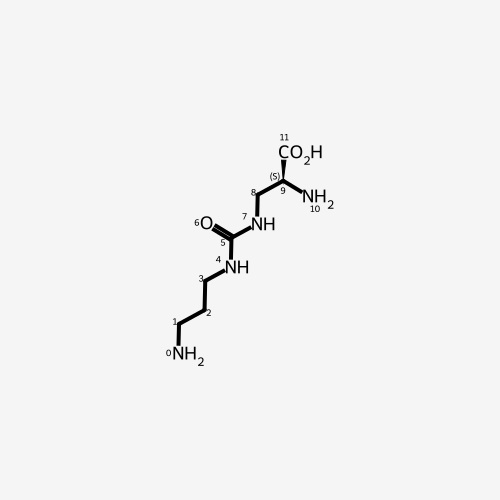 NCCCNC(=O)NC[C@H](N)C(=O)O